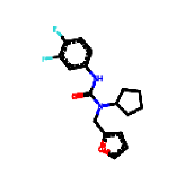 O=C(Nc1ccc(F)c(F)c1)N(Cc1ccco1)C1CCCC1